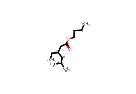 CCCCOC(=O)CC(CC)CC(C)C